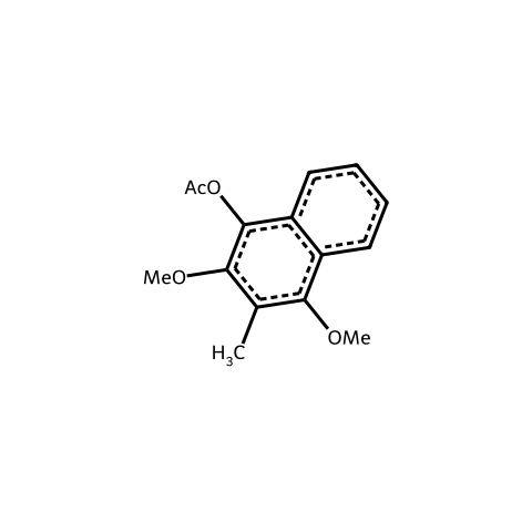 COc1c(C)c(OC)c2ccccc2c1OC(C)=O